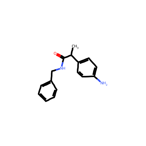 CC(C(=O)NCc1ccccc1)c1ccc(N)cc1